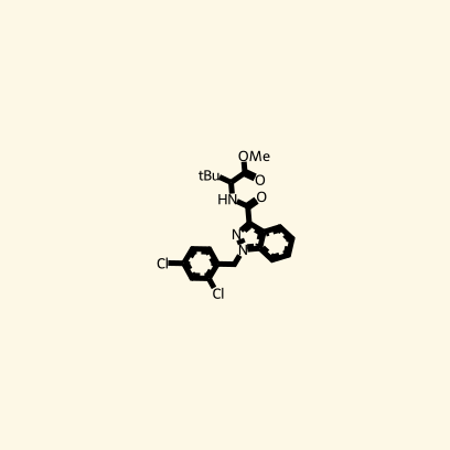 COC(=O)C(NC(=O)c1nn(Cc2ccc(Cl)cc2Cl)c2ccccc12)C(C)(C)C